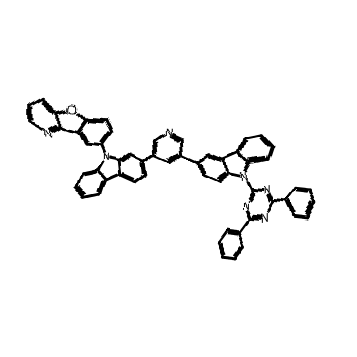 c1ccc(-c2nc(-c3ccccc3)nc(-n3c4ccccc4c4cc(-c5cncc(-c6ccc7c8ccccc8n(-c8ccc9oc%10cccnc%10c9c8)c7c6)c5)ccc43)n2)cc1